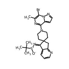 Cc1nc(N2CCC3(CC2)Cc2ncccc2C3=N[S+]([O-])C(C)(C)C)c2ccnn2c1Br